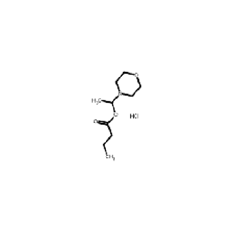 CCCC(=O)OC(C)N1CCOCC1.Cl